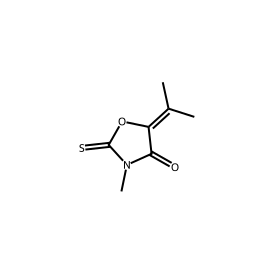 CC(C)=C1OC(=S)N(C)C1=O